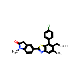 Cc1cc2nc(-c3ccc4c(c3)CC(=O)N4C)sc2c(-c2ccc(Cl)cc2)c1CC(=O)O